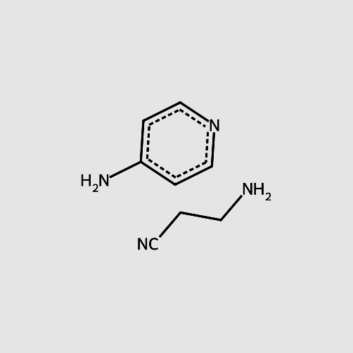 N#CCCN.Nc1ccncc1